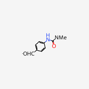 CNC(=O)Nc1ccc([C]=O)cc1